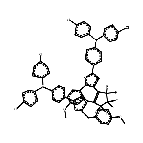 COc1ccc(Cc2sc(-c3ccc(N(c4ccc(Cl)cc4)c4ccc(Cl)cc4)cc3)cc2C2=C(c3cc(-c4ccc(N(c5ccc(Cl)cc5)c5ccc(Cl)cc5)cc4)sc3-c3ccc(OC)cc3)C(F)(F)C(F)(F)C2(F)F)cc1